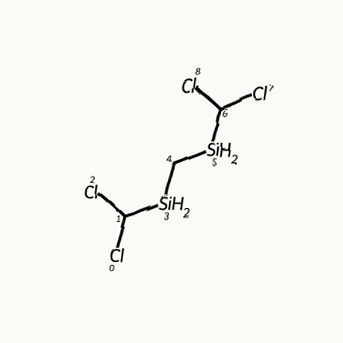 ClC(Cl)[SiH2]C[SiH2]C(Cl)Cl